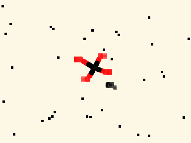 C.O[Si](O)(O)O